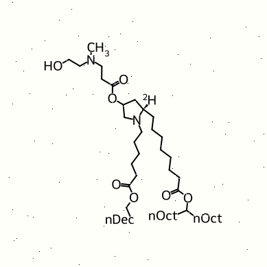 [2H][C@]1(CCCCCCCC(=O)OC(CCCCCCCC)CCCCCCCC)CC(OC(=O)CCN(C)CCO)CN1CCCCCC(=O)OCCCCCCCCCCC